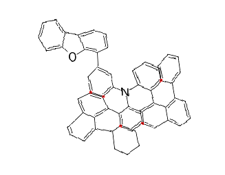 c1ccc(-c2cccc3cccc(-c4ccccc4N(c4cccc(-c5cccc6c5oc5ccccc56)c4)c4ccccc4-c4cccc5cccc(C6CCCCC6)c45)c23)cc1